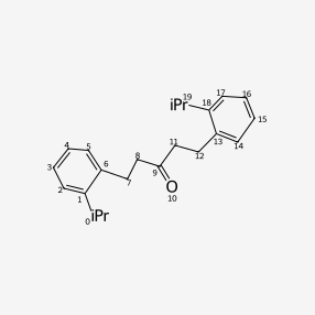 CC(C)c1ccccc1CCC(=O)CCc1ccccc1C(C)C